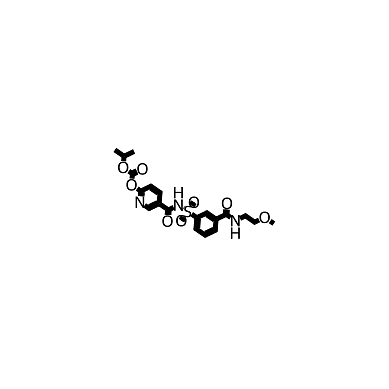 COCCNC(=O)c1cccc(S(=O)(=O)NC(=O)c2ccc(OC(=O)OC(C)C)nc2)c1